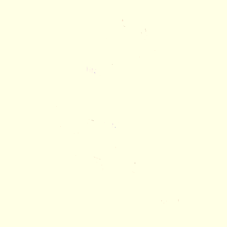 O=C(O)CCCc1ccc2c(n1)N(C(=O)Nc1ccccc1)CCO2